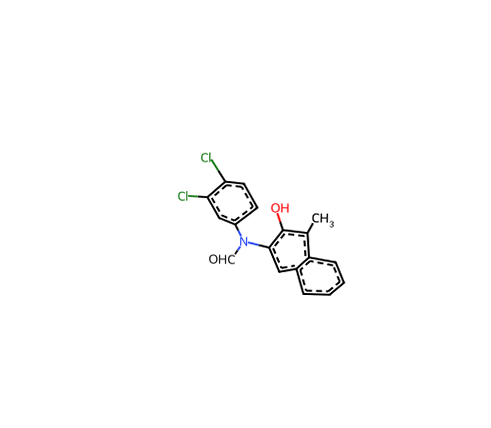 Cc1c(O)c(N(C=O)c2ccc(Cl)c(Cl)c2)cc2ccccc12